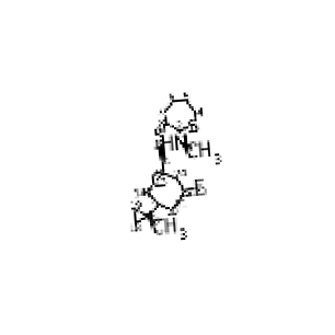 CNC1SCCCCC1SC#CC1CCC(C2(C)CC2)CCC(F)C1